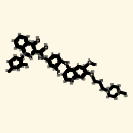 COc1cc2c(Oc3ccc(NC(=O)c4nn(-c5ccc(C)cc5C)c5ccccc5c4=O)cc3F)ccnc2cc1OCCCN1CCN(C)CC1